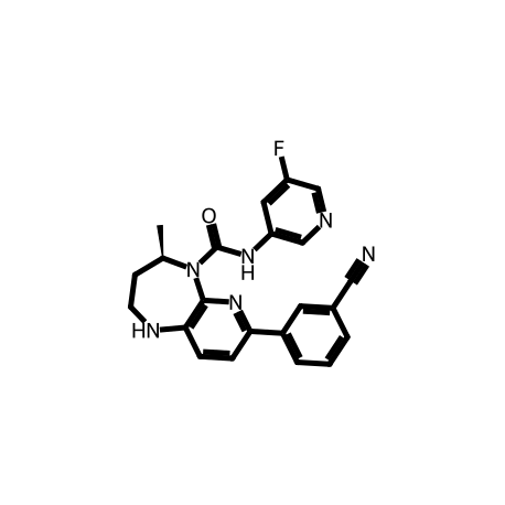 C[C@@H]1CCNc2ccc(-c3cccc(C#N)c3)nc2N1C(=O)Nc1cncc(F)c1